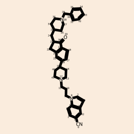 N#Cc1ccc2c(ccn2CCCN2CCC(c3ccc4c(c3)CC(CC3CCN(Cc5ccccc5)CC3)C4=O)CC2)c1